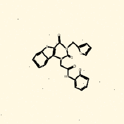 O=C(Cn1c(=O)n(Cc2ccco2)c(=O)c2sc3ccccc3c21)Nc1ccccc1Cl